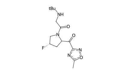 Cc1nc(C(=O)C2C[C@H](F)CN2C(=O)CNC(C)(C)C)no1